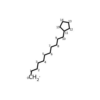 [CH2]CCCCCCCCCCC1CCCC1